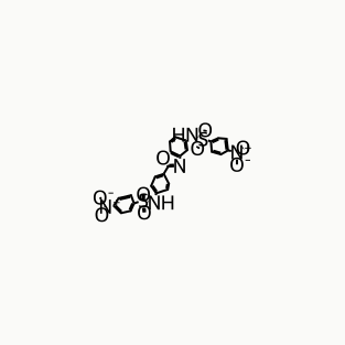 O=[N+]([O-])c1ccc(S(=O)(=O)Nc2ccc(-c3nc4cc(NS(=O)(=O)c5ccc([N+](=O)[O-])cc5)ccc4o3)cc2)cc1